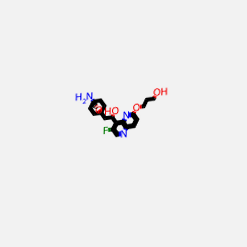 NC12CCC(CC(O)c3c(F)cnc4ccc(OCCCO)nc34)(CC1)OC2